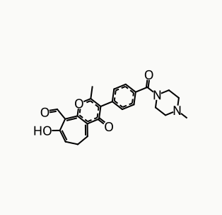 Cc1oc2c(c(=O)c1-c1ccc(C(=O)N3CCN(C)CC3)cc1)=CCC=C(O)C=2C=O